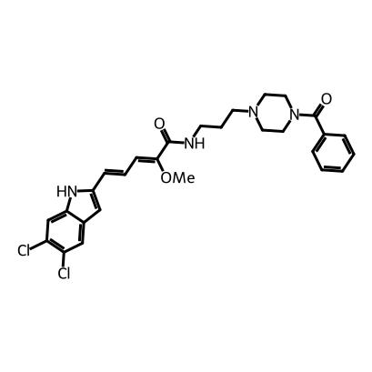 CO/C(=C\C=C\c1cc2cc(Cl)c(Cl)cc2[nH]1)C(=O)NCCCN1CCN(C(=O)c2ccccc2)CC1